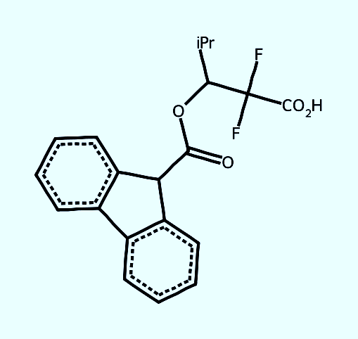 CC(C)C(OC(=O)C1c2ccccc2-c2ccccc21)C(F)(F)C(=O)O